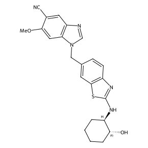 COc1cc2c(cc1C#N)ncn2Cc1ccc2nc(N[C@@H]3CCCC[C@H]3O)sc2c1